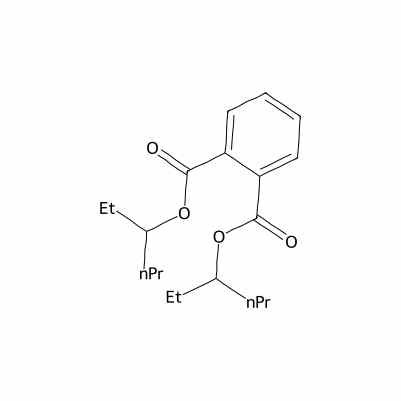 CCCC(CC)OC(=O)c1ccccc1C(=O)OC(CC)CCC